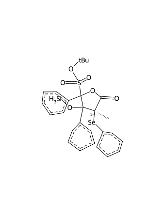 CC(C)(C)OS(=O)(=O)C1(c2ccccc2)OC(=O)[C@@](C)([Se]c2ccccc2)C1(O[SiH3])c1ccccc1